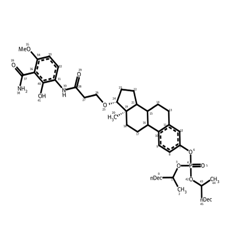 CCCCCCCCCCC(C)OP(=O)(Oc1ccc2c(c1)CCC1C2CC[C@]2(C)C1CC[C@H]2OCCC(=O)Nc1ccc(OC)c(C(N)=O)c1O)OC(C)CCCCCCCCCC